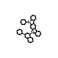 c1ccc(-c2cc(-n3c4ccccc4c4cc5c6ccccc6n(-c6ccccc6)c5cc43)c3ccccc3c2)cc1